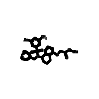 CC(=O)c1cc(C(F)(F)F)cc(S(=O)(=O)N(Cc2ccccc2)[C@@H]2CCCc3c(OCC(=O)OC(C)(C)C)cccc32)c1